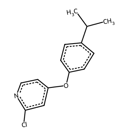 CC(C)c1ccc(Oc2ccnc(Cl)c2)cc1